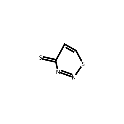 S=c1ccsnn1